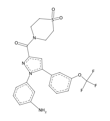 Nc1cccc(-n2nc(C(=O)N3CCS(=O)(=O)CC3)cc2-c2cccc(OC(F)(F)F)c2)c1